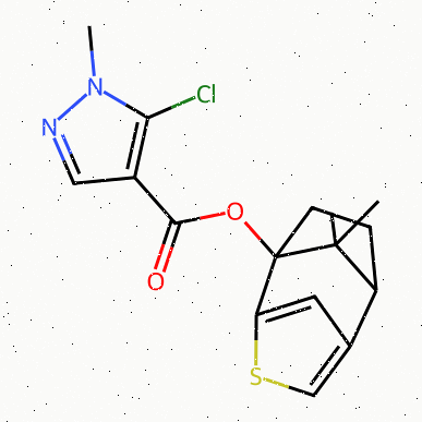 Cn1ncc(C(=O)OC23CCC(c4csc2c4)C3(C)C)c1Cl